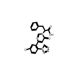 O=C(O)C(Cc1ccccc1)n1cnc(-c2cc(Cl)ccc2-n2cnnn2)cc1=O